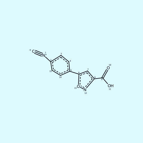 [C-]#[N+]c1ccc(-c2cc(C(=O)O)no2)cc1